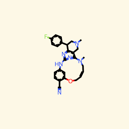 CN1Cc2c(nc3nc2N(C)C/C=C\COc2cc(ccc2C#N)N3)C(c2ccc(F)cc2)C1